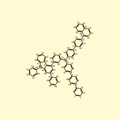 c1ccc(-c2ccc(-c3ccc(N(c4ccc(-c5ccc(-c6cccc7ccccc67)cc5)cc4)c4cccc(-c5cc(-c6ccccc6)cc6c5c5ccccc5n6-c5ccccc5)c4)cc3)cc2)cc1